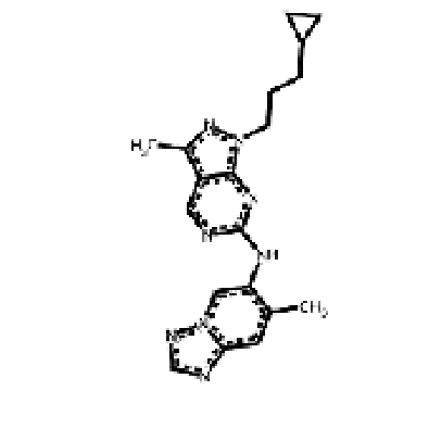 Cc1cc2ncnn2cc1Nc1ncc2c(C)nn(CCCC3CC3)c2n1